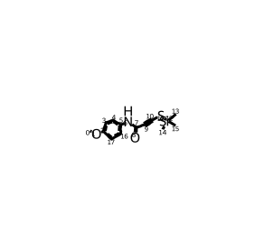 COc1ccc(NC(=O)C#CS[Si](C)(C)C)cc1